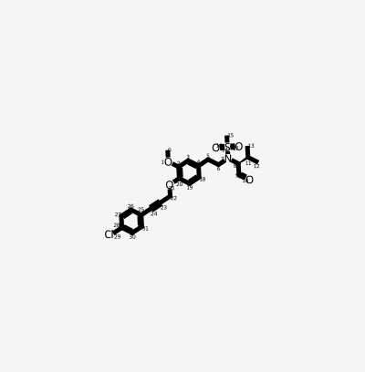 COc1cc(CCN([C@H]([C]=O)C(C)C)S(C)(=O)=O)ccc1OCC#Cc1ccc(Cl)cc1